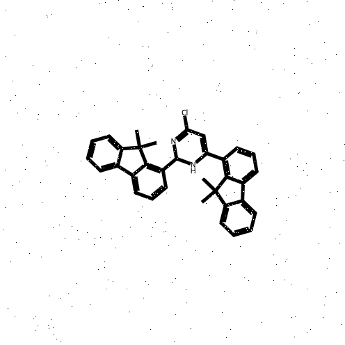 CC1(C)c2ccccc2-c2cccc(C3=CC(Cl)=NC(c4cccc5c4C(C)(C)c4ccccc4-5)N3)c21